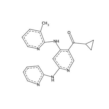 Cc1cccnc1Nc1cc(Nc2ccccn2)ncc1C(=O)C1CC1